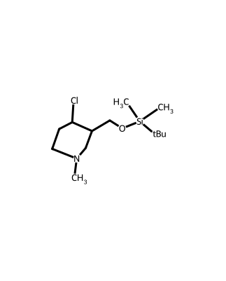 CN1CCC(Cl)C(CO[Si](C)(C)C(C)(C)C)C1